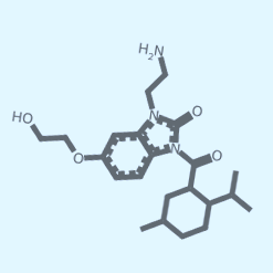 CC1CCC(C(C)C)C(C(=O)n2c(=O)n(CCN)c3cc(OCCO)ccc32)C1